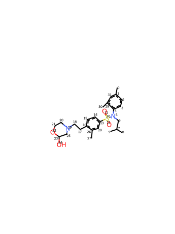 Cc1ccc(N(CC(C)C)S(=O)(=O)c2ccc(CCN3CCOC(O)C3)c(C)c2)c(C)c1